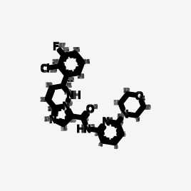 O=C(Nc1cccc(N2CCOCC2)n1)c1cnc2n1NC(c1cccc(F)c1Cl)C=C2